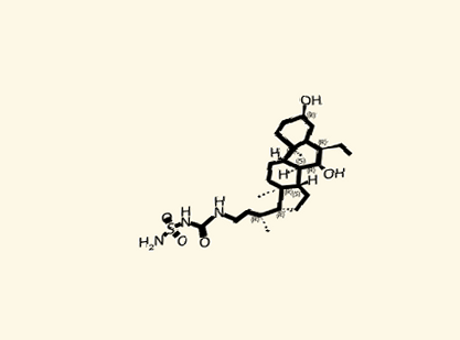 CC[C@@H]1C2C[C@H](O)CC[C@]2(C)[C@H]2CC[C@]3(C)[C@@H]([C@H](C)CCNC(=O)NS(N)(=O)=O)CC[C@H]3[C@@H]2[C@@H]1O